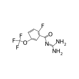 NC(N)=NC(=O)c1cc(OC(F)(F)F)ccc1F